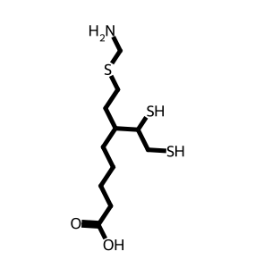 NCSCCC(CCCCC(=O)O)C(S)CS